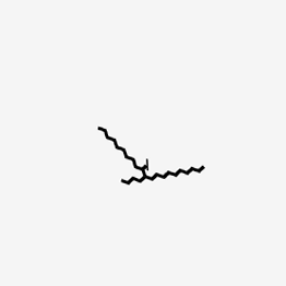 CCCCCCCCCCC(CCCC)C(I)CCCCCCCCC